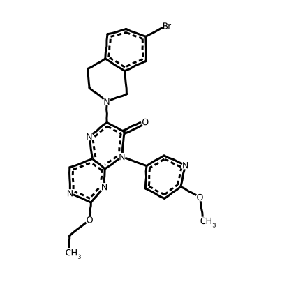 CCOc1ncc2nc(N3CCc4ccc(Br)cc4C3)c(=O)n(-c3ccc(OC)nc3)c2n1